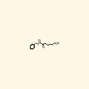 N#CCCCCCC(=O)NOCc1ccccc1